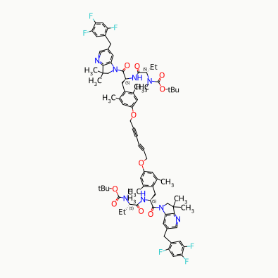 CC[C@@H](C(=O)N[C@@H](Cc1c(C)cc(OCC#CC#CCOc2cc(C)c(C[C@H](NC(=O)[C@H](CC)N(C)C(=O)OC(C)(C)C)C(=O)N3CC(C)(C)c4ncc(Cc5cc(F)c(F)cc5F)cc43)c(C)c2)cc1C)C(=O)N1CC(C)(C)c2ncc(Cc3cc(F)c(F)cc3F)cc21)N(C)C(=O)OC(C)(C)C